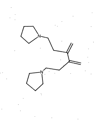 C=C(CCN1CCCC1)C(=C)CCN1CCCC1